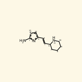 Nc1nc(C=CC2CCCCN2)cs1